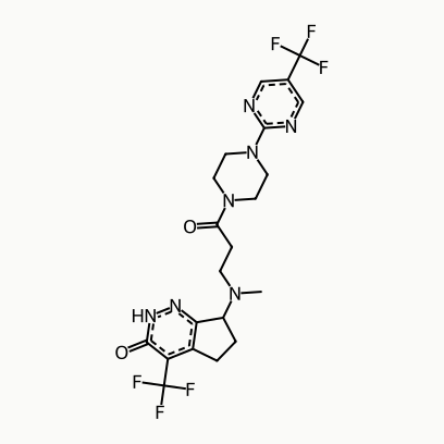 CN(CCC(=O)N1CCN(c2ncc(C(F)(F)F)cn2)CC1)C1CCc2c1n[nH]c(=O)c2C(F)(F)F